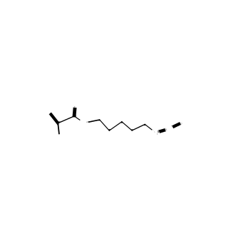 C=C(C)C(=O)OCCCCCN=C=O